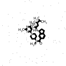 Cc1cc(N2CCC(N(C)C(=O)c3ccc4c(c3)[C@H](NC(=O)CC(C)C(C)C)CC4)CC2)nc(C)n1